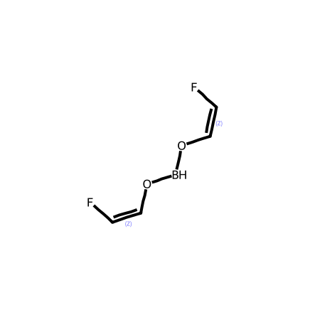 F/C=C\OBO/C=C\F